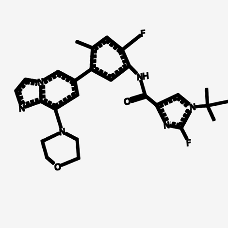 Cc1cc(F)c(NC(=O)c2cn(C(C)(C)C)c(F)n2)cc1-c1cc(N2CCOCC2)c2nccn2c1